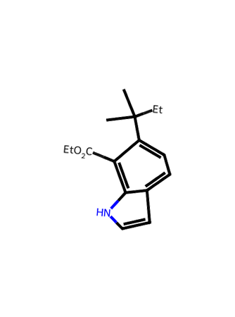 CCOC(=O)c1c(C(C)(C)CC)ccc2cc[nH]c12